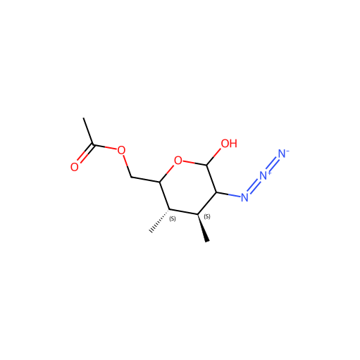 CC(=O)OCC1OC(O)C(N=[N+]=[N-])[C@@H](C)[C@@H]1C